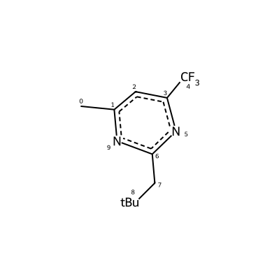 Cc1cc(C(F)(F)F)nc(CC(C)(C)C)n1